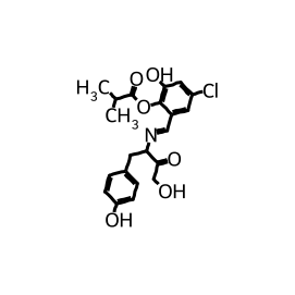 CC(C)C(=O)Oc1c(O)cc(Cl)cc1C=NC(Cc1ccc(O)cc1)C(=O)CO